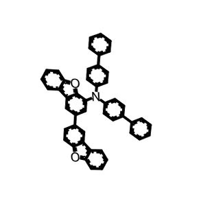 c1ccc(-c2ccc(N(c3ccc(-c4ccccc4)cc3)c3cc(-c4ccc5oc6ccccc6c5c4)cc4c3oc3ccccc34)cc2)cc1